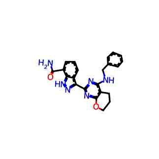 NC(=O)c1cccc2c(-c3nc(NCc4ccccc4)c4c(n3)OCCC4)n[nH]c12